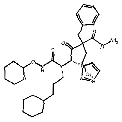 CCCC(Cc1ccccc1)(C(=O)NN)C(=O)[C@@H]([C@H](CCCC1CCCCC1)C(=O)NOC1CCCCO1)n1ccnn1